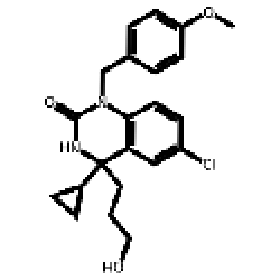 COc1ccc(CN2C(=O)NC(CCCO)(C3CC3)c3cc(Cl)ccc32)cc1